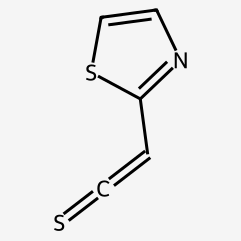 S=C=Cc1nccs1